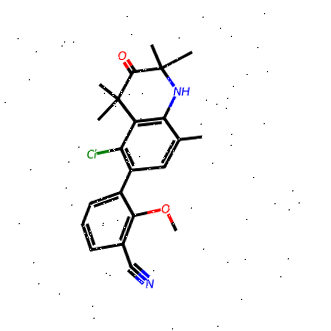 COc1c(C#N)cccc1-c1cc(C)c2c(c1Cl)C(C)(C)C(=O)C(C)(C)N2